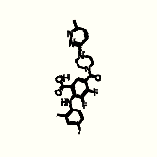 Cc1ccc(N2CCN(C(=O)c3cc(C(=O)O)c(Nc4ccc(I)cc4C)c(F)c3F)CC2)nn1